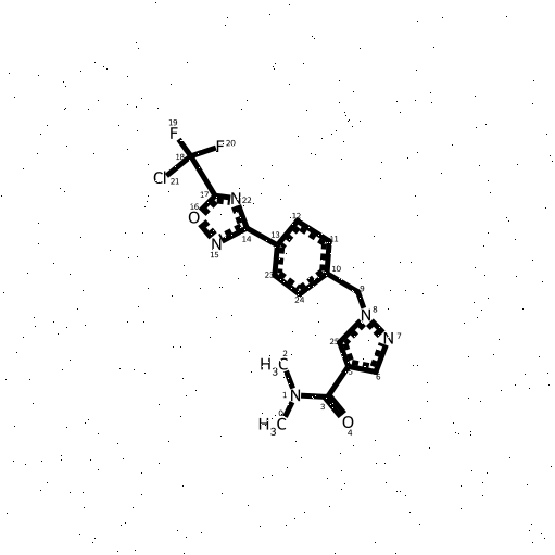 CN(C)C(=O)c1cnn(Cc2ccc(-c3noc(C(F)(F)Cl)n3)cc2)c1